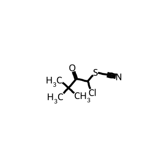 CC(C)(C)C(=O)C(Cl)SC#N